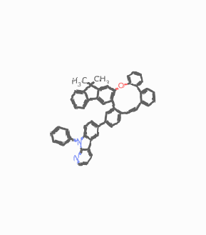 CC1(C)c2ccccc2-c2cc3c(cc21)Oc1ccccc1-c1ccccc1/C=C\c1ccc(-c2ccc4c(c2)c2cccnc2n4-c2ccccc2)cc1-3